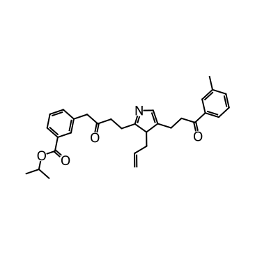 C=CCC1C(CCC(=O)c2cccc(C)c2)=CN=C1CCC(=O)Cc1cccc(C(=O)OC(C)C)c1